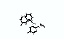 Cc1ccc(C)cc1.Cc1ccc2cccc(O)c2n1.[AlH3]